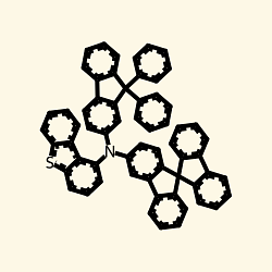 c1ccc(C2(c3ccccc3)c3ccccc3-c3ccc(N(c4ccc5c(c4)-c4ccccc4C54c5ccccc5-c5ccccc54)c4cccc5sc6ccccc6c45)cc32)cc1